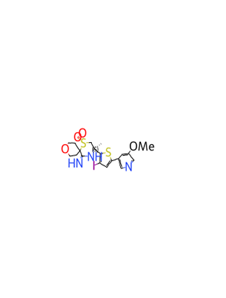 COc1cncc(-c2cc(I)c([C@]3(C)CS(=O)(=O)C4(CCOCC4)C(=N)N3)s2)c1